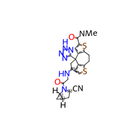 CNC(=O)c1cc2c(s1)CCc1sccc1C2(C[C@@H](C)NCC(=O)N1[C@H](C#N)C[C@@H]2C[C@@H]21)c1nn[nH]n1